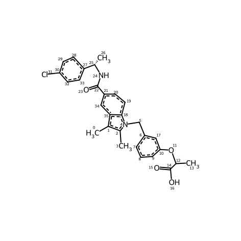 Cc1c(C)n(Cc2cccc(OC(C)C(=O)O)c2)c2ccc(C(=O)N[C@@H](C)c3ccc(Cl)cc3)cc12